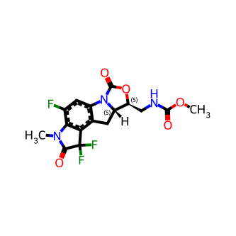 COC(=O)NC[C@@H]1OC(=O)N2c3cc(F)c4c(c3C[C@@H]12)C(F)(F)C(=O)N4C